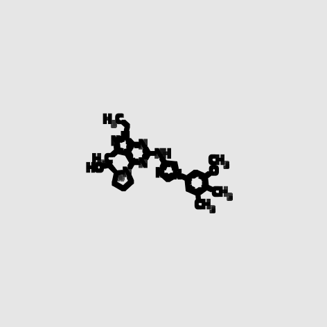 CCn1nc(C)c2c(N3CCC[C@H]3CO)nc(Nc3cn(-c4cc(C)c(C)c(OC)c4)cn3)nc21